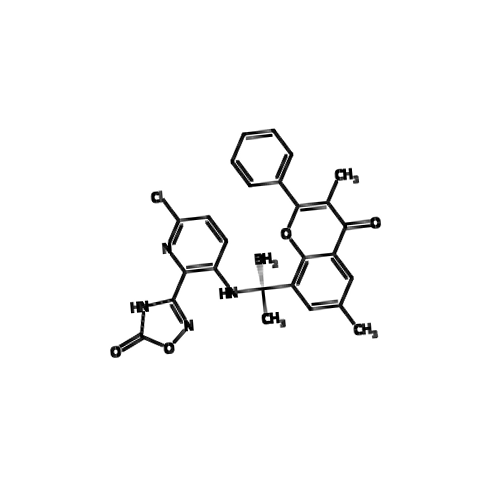 B[C@](C)(Nc1ccc(Cl)nc1-c1noc(=O)[nH]1)c1cc(C)cc2c(=O)c(C)c(-c3ccccc3)oc12